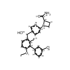 COc1ccc(Cc2ccc(N3CCC3C(N)=O)nc2)c(F)c1-c1cccc(Cl)c1.Cl